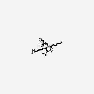 CCCCCC(=O)N(CN(O)C=O)[C@@H](CCCCN(C)C)C(=O)N(C)C